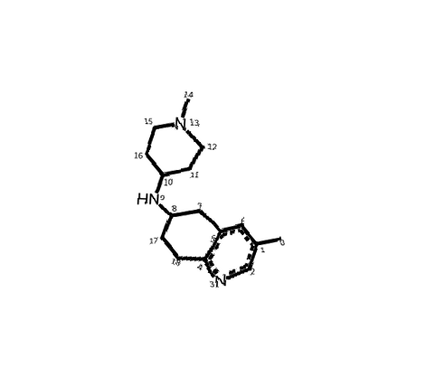 Cc1cnc2c(c1)CC(NC1CCN(C)CC1)CC2